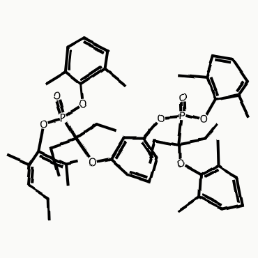 CC/C=C(/C)C(OP(=O)(Oc1c(C)cccc1C)C(CC)(CC)Oc1cccc(OP(=O)(Oc2c(C)cccc2C)C(CC)(CC)Oc2c(C)cccc2C)c1)=C(C)C